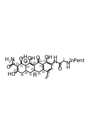 CCCCCNCC(=O)Nc1cc(F)c2c(c1O)C(=O)C1=C(O)[C@]3(O)C(=O)C(C(N)=O)=C(O)CC3C[C@@H]1C2